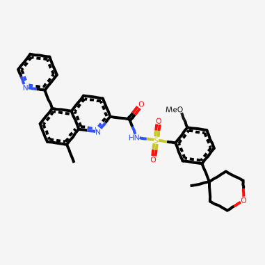 COc1ccc(C2(C)CCOCC2)cc1S(=O)(=O)NC(=O)c1ccc2c(-c3ccccn3)ccc(C)c2n1